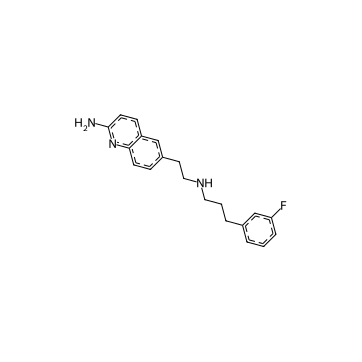 Nc1ccc2cc(CCNCCCc3cccc(F)c3)ccc2n1